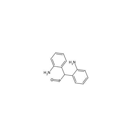 Nc1ccccc1C(P=O)c1ccccc1N